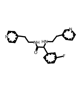 O=C(NCCc1ccncc1)C(NCCc1cccnc1)c1cccc(F)c1